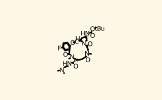 CN(C)CCNC(=O)[C@@H]1CCC(=O)N(C)CC(=O)N2C[C@@H](NC(=O)OC(C)(C)C)C[C@H]2COc2ccc(F)cc2C(=O)N1C